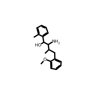 COc1ccccc1CC(C)C(N)C(O)c1ccccc1C